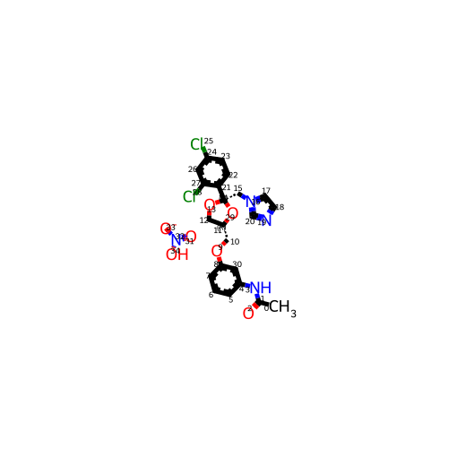 CC(=O)Nc1cccc(OC[C@@H]2CO[C@@](Cn3ccnc3)(c3ccc(Cl)cc3Cl)O2)c1.O=[N+]([O-])O